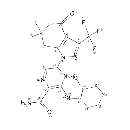 CC1(C)CC(=O)c2c(C(F)(F)F)nn(-c3cnc(C(N)=O)c(NC4CCCCC4O)n3)c2C1